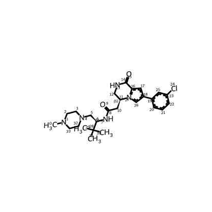 CN1CCN(C[C@@H](NC(=O)C[C@H]2CNC(=O)c3cc(-c4cccc(Cl)c4)cn32)C(C)(C)C)CC1